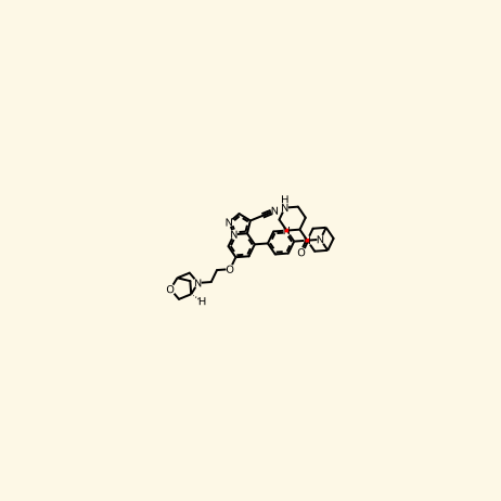 N#Cc1cnn2cc(OCCN3CC4C[C@@H]3CO4)cc(-c3ccc(N4CC5CC(C4)N5C(=O)C4CCNCC4)nc3)c12